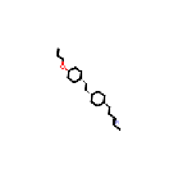 C=CCO[C@H]1CC[C@H](CC[C@H]2CC[C@H](CC/C=C/C)CC2)CC1